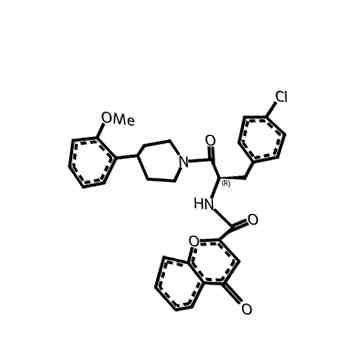 COc1ccccc1C1CCN(C(=O)[C@@H](Cc2ccc(Cl)cc2)NC(=O)c2cc(=O)c3ccccc3o2)CC1